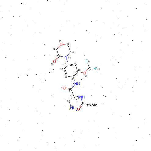 CNC(=O)N[C@H](CN)C(=O)Nc1ccc(N2CCOCC2=O)cc1OC(F)F